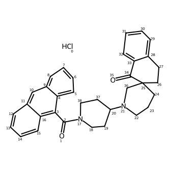 Cl.O=C(c1c2ccccc2cc2ccccc12)N1CCC(N2CCCC3(CCc4ccccc4C3=O)C2)CC1